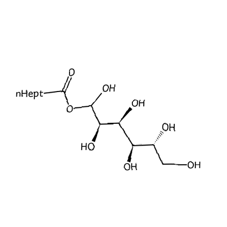 CCCCCCCC(=O)OC(O)[C@H](O)[C@@H](O)[C@H](O)[C@H](O)CO